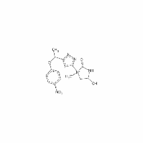 CC(Oc1ccc([N+](=O)[O-])cc1)c1nnc([N+]2(C)CC(O)NC2=O)s1